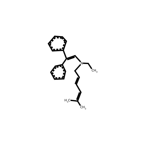 CCN(C=C(c1ccccc1)c1ccccc1)CC=CC=C(C)C